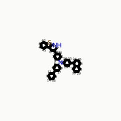 C1=C(c2ccc(N(c3ccc(-c4ccccc4)cc3)c3ccc(-c4cccc5ccccc45)cc3)cc2)CNc2sc3ccccc3c21